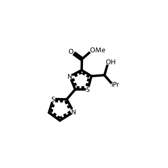 COC(=O)c1nc(-c2nccs2)sc1C(O)C(C)C